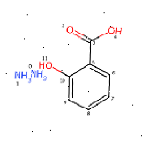 N.N.O=C(O)c1ccccc1O